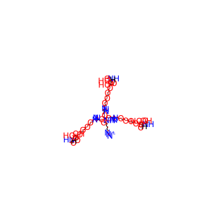 CC(=O)N[C@H]1[C@H]2OC[C@@](COCCOCCOCCOCCn3cc(COCC(COCc4cn(CCOCCOCCOCCOC[C@]56CO[C@@H](O5)[C@H](NC(C)=O)[C@@H](O)[C@H]6O)nn4)(COCc4cn(CCOCCOCCOCCOC[C@]56CO[C@@H](O5)[C@H](NC(C)=O)[C@@H](O)[C@H]6O)nn4)NC(=O)CCCCCN=[N+]=[N-])nn3)(O2)[C@H](O)[C@@H]1O